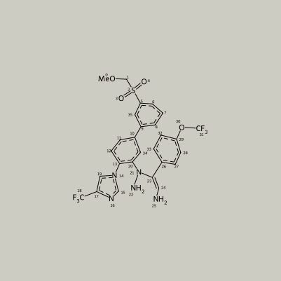 COCS(=O)(=O)c1cccc(-c2ccc(-n3cnc(C(F)(F)F)c3)c(N(N)/C(=C\N)c3ccc(OC(F)(F)F)cc3)c2)c1